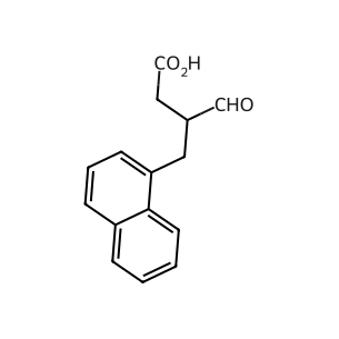 O=CC(CC(=O)O)Cc1cccc2ccccc12